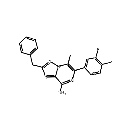 Cc1ccc(-c2nc(N)c3nc(Cc4ccccc4)nn3c2C)cc1F